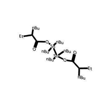 CCCCC(CC)C(=O)[O][Sn]([CH2]CCC)([CH2]CCC)[Sn]([CH2]CCC)([CH2]CCC)[O]C(=O)C(CC)CCCC